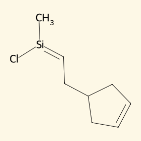 C[Si](Cl)=CCC1CC=CC1